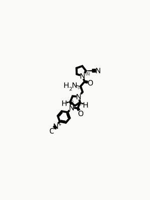 [C-]#[N+]c1ccc(N2C(=O)[C@@H]3C[C@H]2CN3C[C@H](N)C(=O)N2CCC[C@H]2C#N)cc1